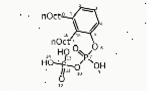 CCCCCCCCc1cccc(OP(=O)(O)OP(=O)(O)O)c1CCCCCCCC